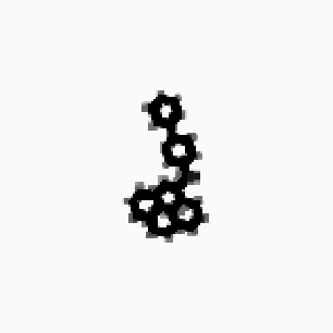 c1ccc(-c2ccc(Nc3cc4cccc5ccc6cccc3c6c54)cc2)cc1